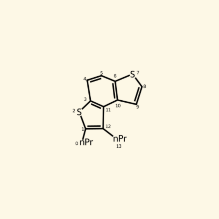 CCCc1sc2ccc3sccc3c2c1CCC